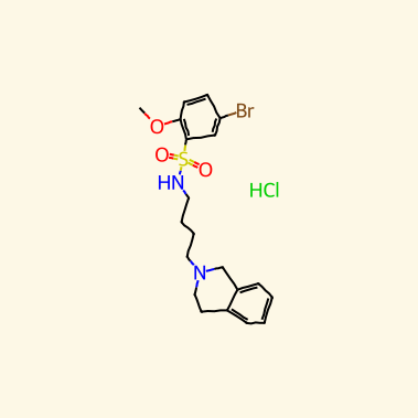 COc1ccc(Br)cc1S(=O)(=O)NCCCCN1CCc2ccccc2C1.Cl